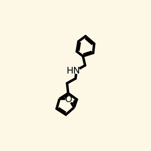 c1ccc(CNCCc2cc3ccc2o3)cc1